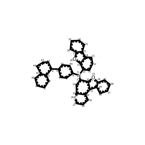 c1ccc2c(-c3ccc(N(c4cccc5c4oc4ccccc45)c4cc5ccccc5c5c4oc4ccccc45)cc3)cccc2c1